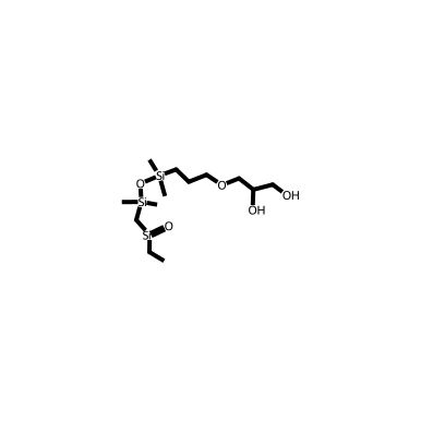 CC[Si](=O)C[Si](C)(C)O[Si](C)(C)CCCOCC(O)CO